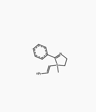 CCCC=CS1(C)CCN=C1c1cc[c]cc1